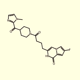 Cn1ccnc1C(=O)C1CCN(C(=O)CCCc2cn3cc(F)cc3c(=O)[nH]2)CC1